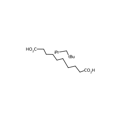 CC(C)CC(C)(C)C.O=C(O)CCCCCCCCC(=O)O